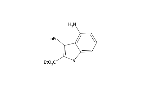 CCCc1c(C(=O)OCC)sc2cccc(N)c12